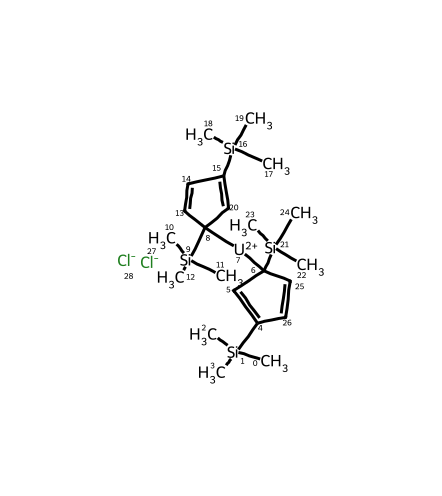 C[Si](C)(C)C1=C[C]([U+2][C]2([Si](C)(C)C)C=CC([Si](C)(C)C)=C2)([Si](C)(C)C)C=C1.[Cl-].[Cl-]